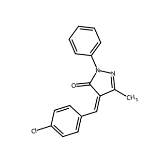 CC1=NN(c2ccccc2)C(=O)C1=Cc1ccc(Cl)cc1